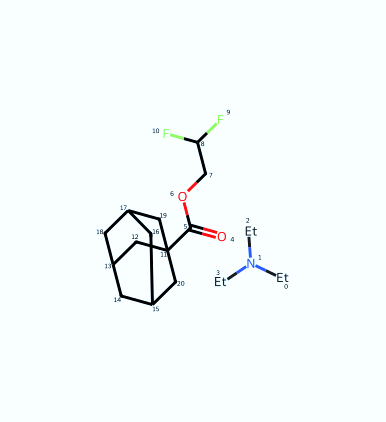 CCN(CC)CC.O=C(OCC(F)F)C12CC3CC(CC(C3)C1)C2